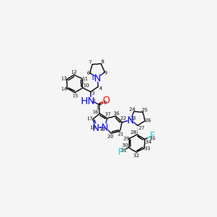 O=C(NC(CN1CCCC1)c1ccccc1)c1cnn2ccc(N3CCC[C@@H]3c3cc(F)ccc3F)cc12